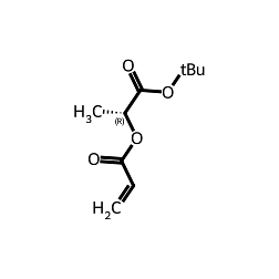 C=CC(=O)O[C@H](C)C(=O)OC(C)(C)C